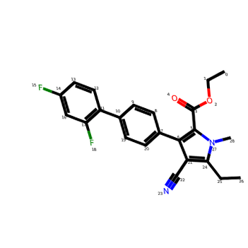 CCOC(=O)c1c(-c2ccc(-c3ccc(F)cc3F)cc2)c(C#N)c(CC)n1C